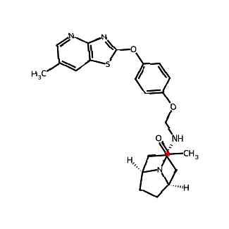 CC(=O)N1[C@@H]2CC[C@H]1C[C@H](NCOc1ccc(Oc3nc4ncc(C)cc4s3)cc1)C2